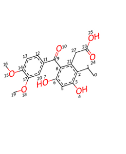 CCc1c(O)cc(O)c(C(=O)c2ccc(OC)c(OC)c2)c1CC(=O)O